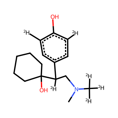 [2H]c1cc(C([2H])(CN(C)C([2H])([2H])[2H])C2(O)CCCCC2)cc([2H])c1O